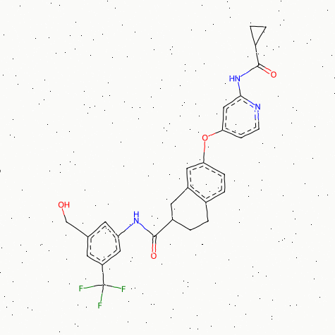 O=C(Nc1cc(CO)cc(C(F)(F)F)c1)C1CCc2ccc(Oc3ccnc(NC(=O)C4CC4)c3)cc2C1